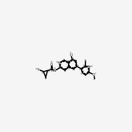 COc1ccc(-c2cc(Cl)c3cnc(NC(=O)C4CC4F)cc3c2)c(C)n1